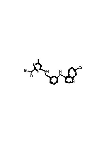 CCN(CC)c1nc(C)cc(NCc2cccc(Nc3ccnc4cc(Cl)ccc34)c2)n1